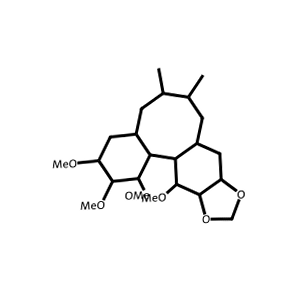 COC1CC2CC(C)C(C)CC3CC4OCOC4C(OC)C3C2C(OC)C1OC